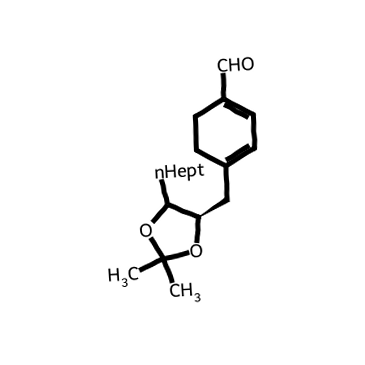 CCCCCCCC1OC(C)(C)O[C@@H]1CC1=CC=C(C=O)CC1